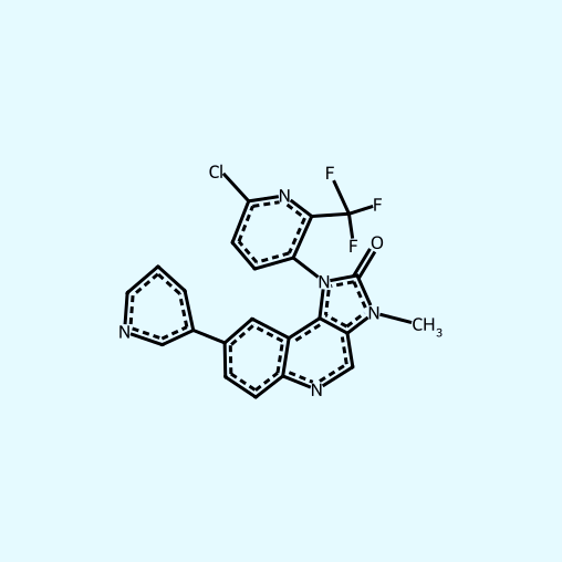 Cn1c(=O)n(-c2ccc(Cl)nc2C(F)(F)F)c2c3cc(-c4cccnc4)ccc3ncc21